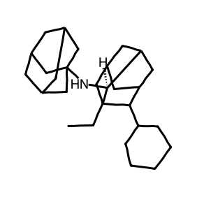 CCC12CC3CC(CC(C3)[C@@H]1NC13CC4CC(CC(C4)C1)C3)C2C1CCCCC1